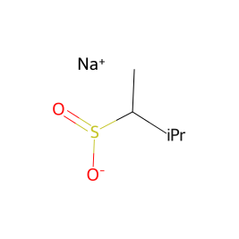 CC(C)C(C)S(=O)[O-].[Na+]